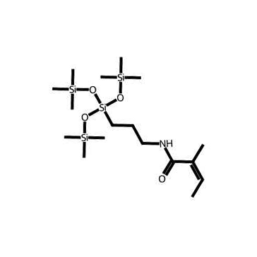 CC=C(C)C(=O)NCCC[Si](O[Si](C)(C)C)(O[Si](C)(C)C)O[Si](C)(C)C